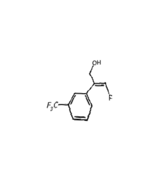 OC/C(=C/F)c1cccc(C(F)(F)F)c1